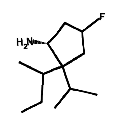 CCC(C)C1(C(C)C)CC(F)C[C@H]1N